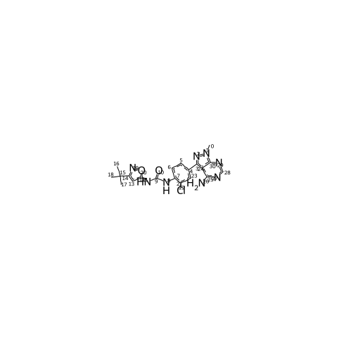 Cn1nc(-c2ccc(NC(=O)Nc3cc(C(C)(C)C)no3)c(Cl)c2)c2c(N)ncnc21